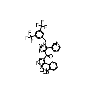 Cn1ncc(C(=O)c2nnn(Cc3cc(C(F)(F)F)cc(C(F)(F)F)c3)c2-c2cccnc2)c1-c1ccccc1Cl